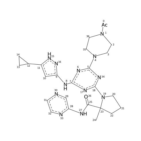 CC(=O)N1CCN(c2nc(Nc3cc(C4CC4)[nH]n3)nc(N3CCCC3(C)C(=O)Nc3cnccn3)n2)CC1